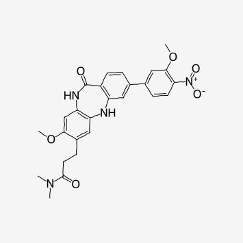 COc1cc2c(cc1CCC(=O)N(C)C)Nc1cc(-c3ccc([N+](=O)[O-])c(OC)c3)ccc1C(=O)N2